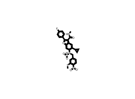 CNC(=O)c1c(-c2ccc(F)cc2)oc2cc(N(Cc3ccc([N+](=O)[O-])c(SC)c3)[SH](=O)=O)c(C3CC3)cc12